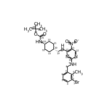 Cc1c(Br)cccc1CNc1ncc([N+](=O)[O-])c(NC[C@H]2CC[C@H](NC(=O)OC(C)(C)C)CC2)n1